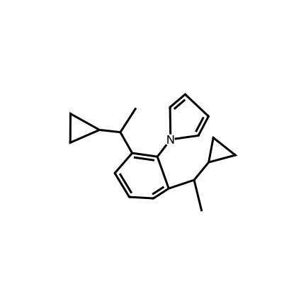 CC(c1cccc(C(C)C2CC2)c1-n1cccc1)C1CC1